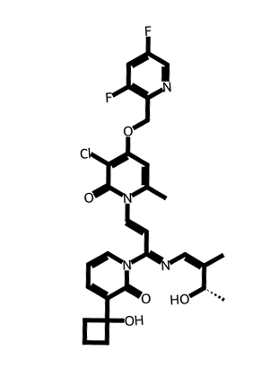 C/C(=C/N=C(\C=C\n1c(C)cc(OCc2ncc(F)cc2F)c(Cl)c1=O)n1cccc(C2(O)CCC2)c1=O)[C@H](C)O